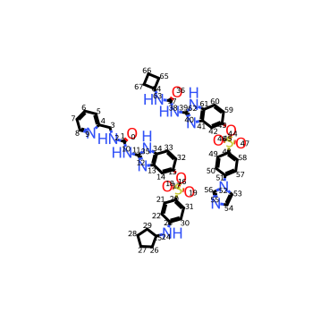 O=C(NCc1ccccn1)Nc1nc2cc(OS(=O)(=O)c3ccc(NC4CCCC4)cc3)ccc2[nH]1.O=C(Nc1nc2cc(OS(=O)(=O)c3ccc(-n4ccnc4)cc3)ccc2[nH]1)NC1CCC1